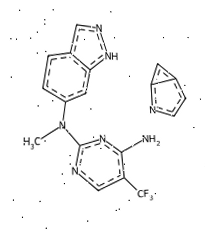 CN(c1ccc2cn[nH]c2c1)c1ncc(C(F)(F)F)c(N)n1.c1cc2cc-2n1